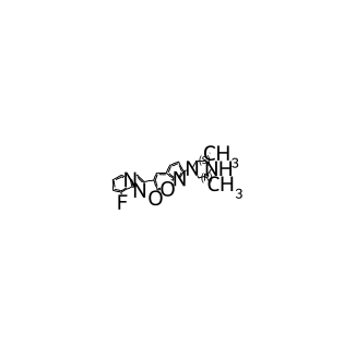 C[C@@H]1CN(c2ccc3cc(-c4cn5cccc(F)c5n4)c(=O)oc3n2)C[C@H](C)N1